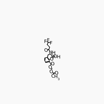 CC(=O)OCOC(=O)c1cccc2c1OB(O)C(NC(=O)CCC(F)(F)F)C2